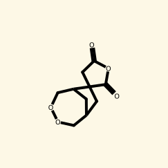 O=C1CC2(CC3COOCC2C3)C(=O)O1